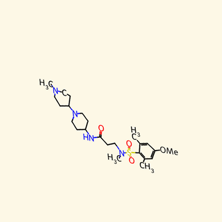 COc1cc(C)c(S(=O)(=O)N(C)CCC(=O)NC2CCN(C3CCN(C)CC3)CC2)c(C)c1